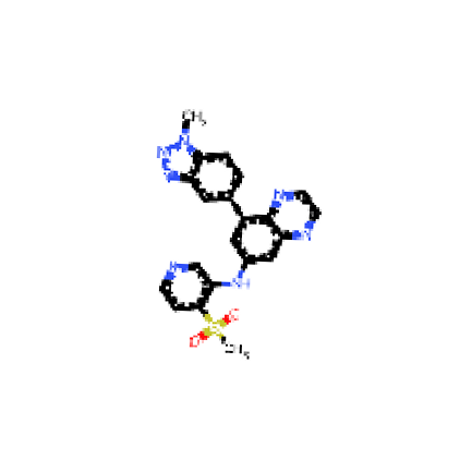 Cn1nnc2cc(-c3cc(Nc4cnccc4S(C)(=O)=O)cc4nccnc34)ccc21